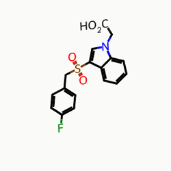 O=C(O)Cn1cc(S(=O)(=O)Cc2ccc(F)cc2)c2ccccc21